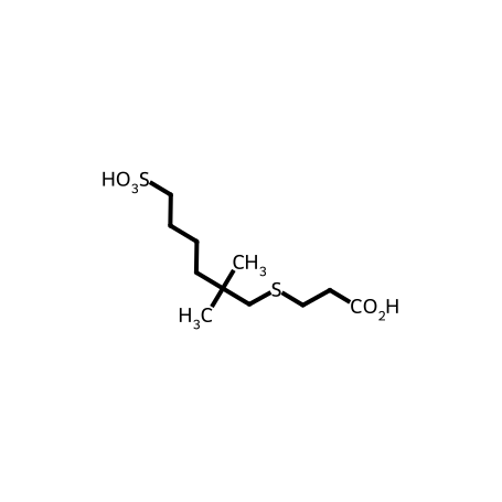 CC(C)(CCCCS(=O)(=O)O)CSCCC(=O)O